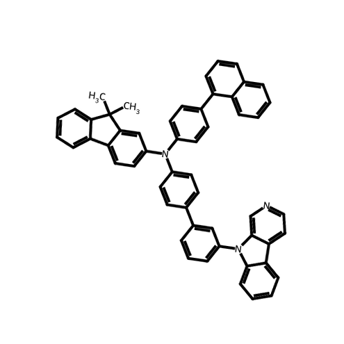 CC1(C)c2ccccc2-c2ccc(N(c3ccc(-c4cccc(-n5c6ccccc6c6ccncc65)c4)cc3)c3ccc(-c4cccc5ccccc45)cc3)cc21